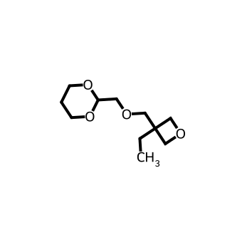 CCC1(COCC2OCCCO2)COC1